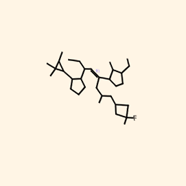 CCC(/C=C(\CC(C)CC1CC(C)(F)C1)C1CCC(CC)C1C)C1CCCC1C1C(C)C1(C)C